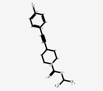 O=C(OC(C(F)(F)F)C(F)(F)F)N1CCC(C#Cc2ccc(Cl)cc2)CC1